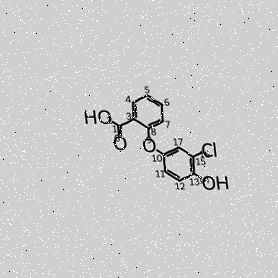 O=C(O)c1ccccc1Oc1ccc(O)c(Cl)c1